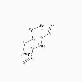 C=CCNCC=C.CCCCCCCCCCBr